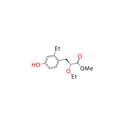 CCO[C@@H](Cc1ccc(O)cc1CC)C(=O)OC